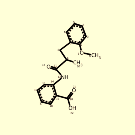 COc1ccccc1CC(C)C(=O)Nc1ccccc1C(=O)O